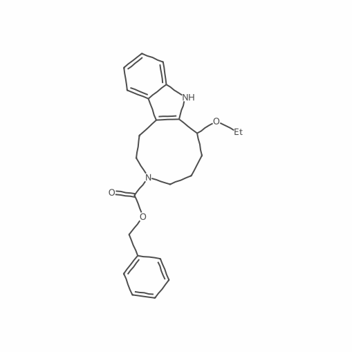 CCOC1CCCN(C(=O)OCc2ccccc2)CCc2c1[nH]c1ccccc21